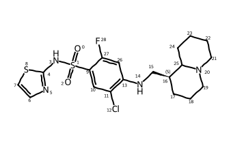 O=S(=O)(Nc1nccs1)c1cc(Cl)c(NC[C@@H]2CCCN3CCCCC23)cc1F